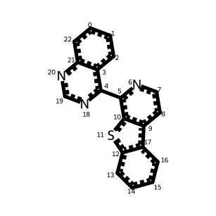 c1ccc2c(-c3nccc4c3sc3ccccc34)ncnc2c1